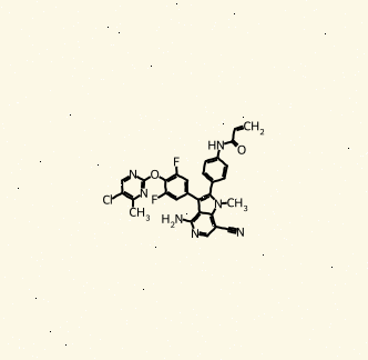 C=CC(=O)Nc1ccc(-c2c(-c3cc(F)c(Oc4ncc(Cl)c(C)n4)c(F)c3)c3c(N)ncc(C#N)c3n2C)cc1